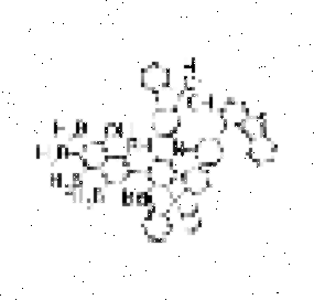 Bc1c(B)c(O)c2c(B)c(-c3cc(N(C4=CC5=C(CC4)c4ccccc4C5(C)C)c4cccc(-c5cccc6sc7ccccc7c56)c4)cc4c3Oc3ccccc3C43C4=C(C=C=C=C4)c4ccccc43)c(B)c(B)c2c1B